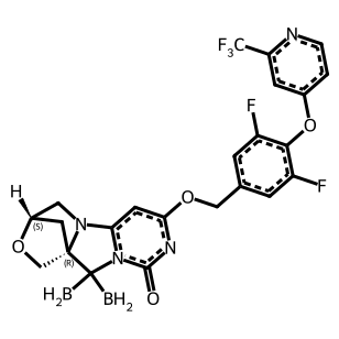 BC1(B)n2c(cc(OCc3cc(F)c(Oc4ccnc(C(F)(F)F)c4)c(F)c3)nc2=O)N2C[C@@H]3C[C@@]21CO3